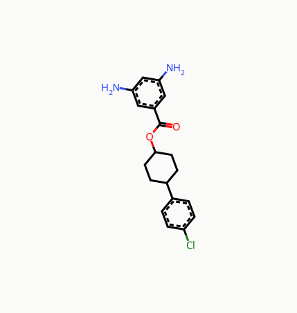 Nc1cc(N)cc(C(=O)OC2CCC(c3ccc(Cl)cc3)CC2)c1